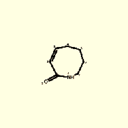 O=C1/C=C\CCCCN1